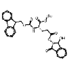 CC(C)(C)OC(=O)[C@H](CCC(=O)ON1C(=O)c2ccccc2C1O)NC(=O)OCC1c2ccccc2-c2ccccc21